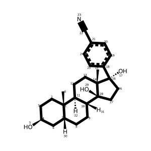 C[C@]12CC[C@H](O)C[C@H]1CC[C@@H]1[C@@H]2CC[C@]2(C)[C@@](O)(c3ccc(C#N)cc3)CC[C@]12O